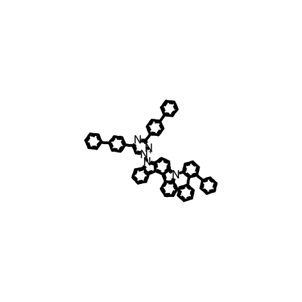 c1ccc(-c2ccc(-c3c[n+](-n4c5ccccc5c5c6c7ccccc7n(-c7cccc(-c8ccccc8)c7-c7ccccc7)c6ccc54)nc(-c4ccc(-c5ccccc5)cc4)n3)cc2)cc1